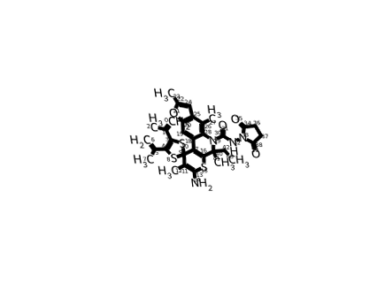 C=C(C)C1=C(C(=C)C)SC2(S1)C(C)=C(N)SC1=C2c2cc3oc(C)cc3c(C)c2N(C(=O)NN2C(=O)CCC2=O)C1(C)CC